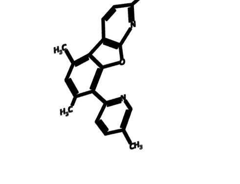 Cc1ccc(-c2c(C)cc(C)c3c2oc2nc(C)ccc23)nc1